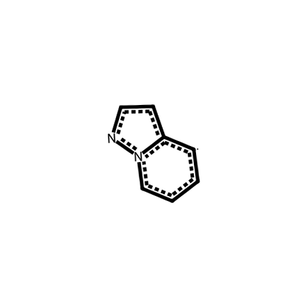 [c]1cccn2nccc12